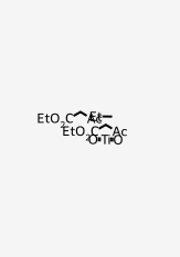 CCC.CCOC(=O)CC(C)=O.CCOC(=O)CC(C)=O.[O]=[Ti]=[O]